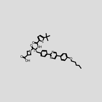 CCCCCOc1ccc(-c2cnc(-c3ccc(C[C@H](NC(=O)c4ccc(C(C)(C)C)s4)C(=O)N4CC(C(=O)O)C4)cc3)nc2)cc1